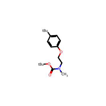 CN(CCOc1ccc(C(C)(C)C)cc1)C(=O)OC(C)(C)C